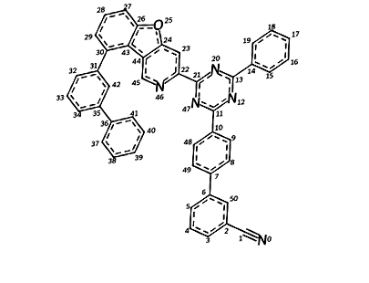 N#Cc1cccc(-c2ccc(-c3nc(-c4ccccc4)nc(-c4cc5oc6cccc(-c7cccc(-c8ccccc8)c7)c6c5cn4)n3)cc2)c1